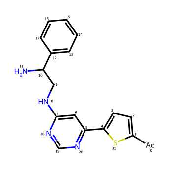 CC(=O)c1ccc(-c2cc(NCC(N)c3ccccc3)ncn2)s1